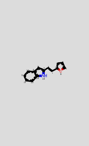 C(=C\c1ccco1)/c1cc2ccccc2[nH]1